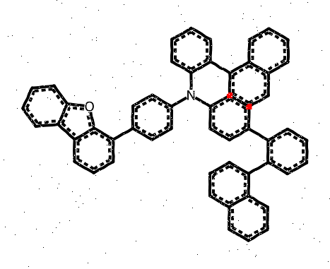 c1ccc(-c2cccc3ccccc23)c(-c2ccc(N(c3ccc(-c4cccc5c4oc4ccccc45)cc3)c3ccccc3-c3cccc4ccccc34)cc2)c1